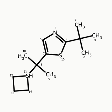 CC(C)(C)c1ncc(C(C)(C)[SH]2CCC2)s1